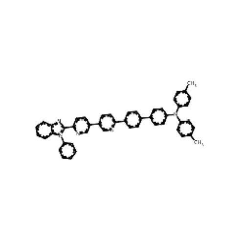 Cc1ccc(N(c2ccc(C)cc2)c2ccc(-c3ccc(-c4ccc(-c5ccc(-c6nc7ccccc7n6-c6ccccc6)nc5)cn4)cc3)cc2)cc1